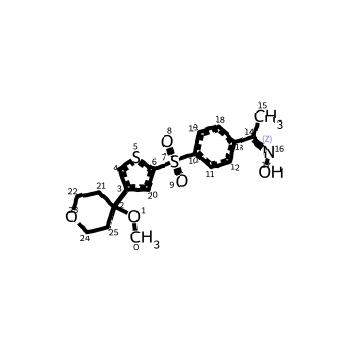 COC1(c2csc(S(=O)(=O)c3ccc(/C(C)=N\O)cc3)c2)CCOCC1